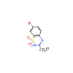 CCOC(=O)C1=Nc2ccc(Br)cc2S(=O)(=O)N1